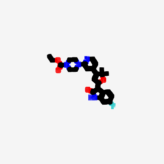 CCOC(=O)N1CCN(c2cc(C3=C/C(=C4\C(=O)Nc5cc(F)ccc54)OC3(C)C)ccn2)CC1